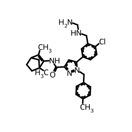 CC1=C(NC(=O)c2cc(-c3ccc(Cl)c(CNCN)c3)n(Cc3ccc(C)cc3)n2)C2(C)CCC1C2